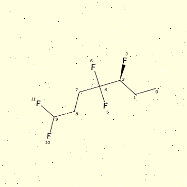 [CH2]C[C@H](F)C(F)(F)CCC(F)F